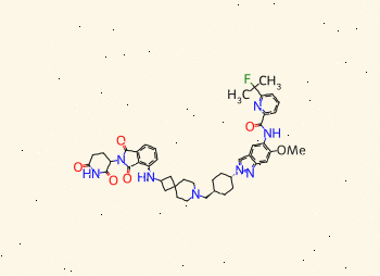 COc1cc2nn([C@H]3CC[C@H](CN4CCC5(CC4)CC(Nc4cccc6c4C(=O)N(C4CCC(=O)NC4=O)C6=O)C5)CC3)cc2cc1NC(=O)c1cccc(C(C)(C)F)n1